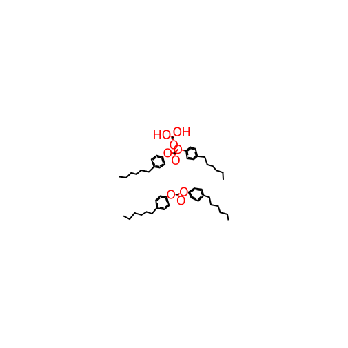 CCCCCCc1ccc(OC(=O)Oc2ccc(CCCCCC)cc2)cc1.CCCCCCc1ccc(OC(=O)Oc2ccc(CCCCCC)cc2)cc1.O=C(O)O